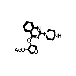 CC(=O)O[C@H]1COC[C@H]1Oc1nc(N2CCNCC2)nc2ccccc12